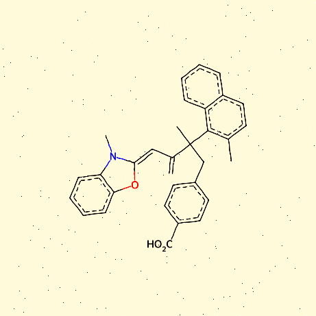 C=C(/C=C1\Oc2ccccc2N1C)C(C)(Cc1ccc(C(=O)O)cc1)c1c(C)ccc2ccccc12